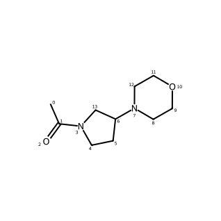 CC(=O)N1CCC(N2CCOCC2)C1